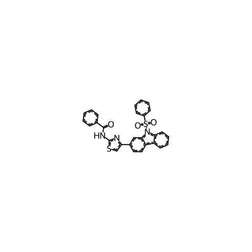 O=C(Nc1nc(-c2ccc3c4ccccc4n(S(=O)(=O)c4ccccc4)c3c2)cs1)c1ccccc1